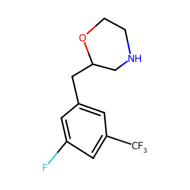 Fc1cc(CC2CNCCO2)cc(C(F)(F)F)c1